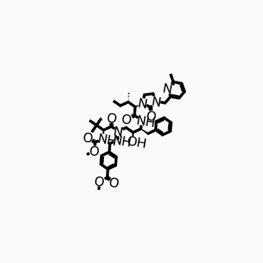 CC[C@H](C)[C@@H](C(=O)N[C@@H](Cc1ccccc1)[C@@H](O)CN(NCc1ccc(C(=O)OC)cc1)C(=O)[C@@H](NC(=O)OC)C(C)(C)C)N1CCN(Cc2cccc(C)n2)C1=O